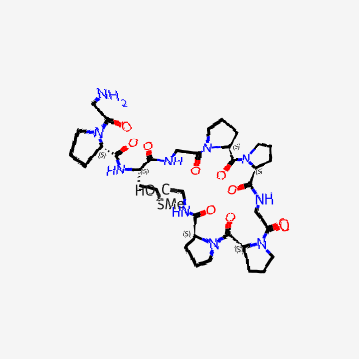 CSCC[C@H](NC(=O)[C@@H]1CCCN1C(=O)CN)C(=O)NCC(=O)N1CCC[C@H]1C(=O)N1CCC[C@H]1C(=O)NCC(=O)N1CCC[C@H]1C(=O)N1CCC[C@H]1C(=O)NCC(=O)O